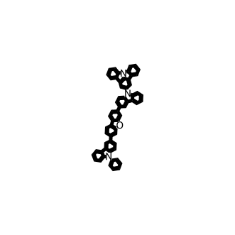 c1ccc(-n2c3ccccc3c3cc(-c4ccc5c(c4)oc4cc(-c6ccc7c(c6)c6ccccc6n7-c6cc7c8ccccc8n8c9ccccc9c(c6)c78)ccc45)ccc32)cc1